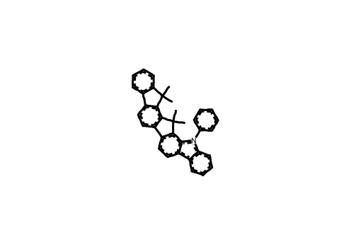 CC1(C)c2ccccc2-c2ccc3c(c21)C(C)(C)c1c-3ccc2c3ccccc3n(-c3ccccc3)c12